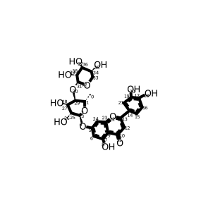 C[C@@H]1O[C@@H](Oc2cc(O)c3c(=O)cc(-c4ccc(O)c(O)c4)oc3c2)[C@H](O)[C@H](O)[C@H]1O[C@H]1OC[C@@H](O)[C@H](O)[C@H]1O